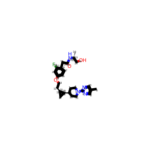 Cc1cnc(N2CCC([C@H]3C[C@H]3CCOc3ccc(CC(=O)N[C@H](C)CO)c(F)c3)CC2)nc1